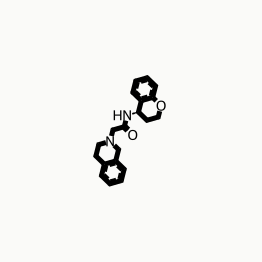 O=C(CN1CCc2ccccc2C1)N[C@H]1CCOc2ccccc21